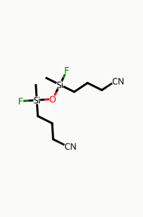 C[Si](F)(CCCC#N)O[Si](C)(F)CCCC#N